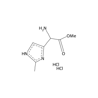 COC(=O)C(N)c1c[nH]c(C)n1.Cl.Cl